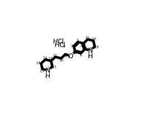 Cl.Cl.c1cc2c(cc1OCCCC1CCCNC1)NCCC2